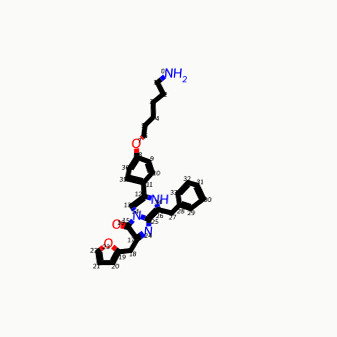 NCCCCCCOc1ccc(-c2cn3c(=O)c(Cc4ccco4)nc-3c(Cc3ccccc3)[nH]2)cc1